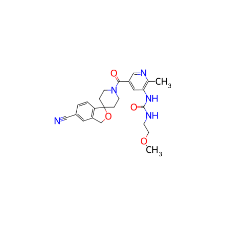 COCCNC(=O)Nc1cc(C(=O)N2CCC3(CC2)OCc2cc(C#N)ccc23)cnc1C